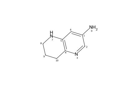 Nc1cnc2c(c1)NCCC2